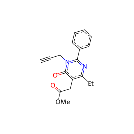 C#CCn1c(-c2ccccc2)nc(CC)c(CC(=O)OC)c1=O